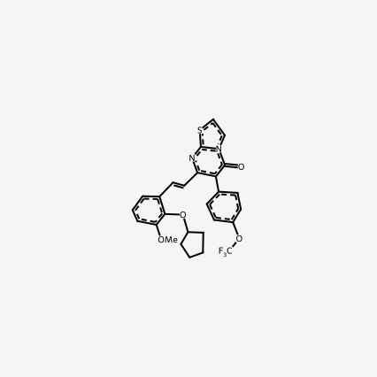 COc1cccc(C=Cc2nc3sccn3c(=O)c2-c2ccc(OC(F)(F)F)cc2)c1OC1CCCC1